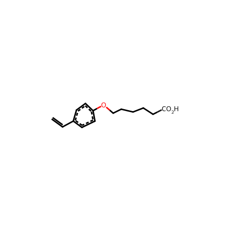 C=Cc1ccc(OCCCCCC(=O)O)cc1